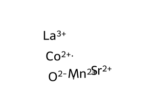 [Co+2].[La+3].[Mn+2].[O-2].[Sr+2]